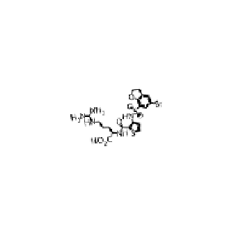 NC(N)NCCC[C@H](NC(=O)c1sccc1NS(=O)(=O)c1cc(Br)cc2c1OCC2)C(=O)O